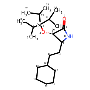 CC(C)[Si](O[C@@H]1C(=O)NC1CCC1CCCCC1)(C(C)C)C(C)C